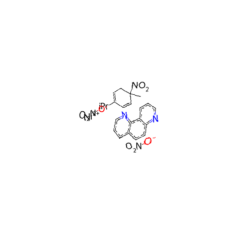 CC(C)C1=CCC(C)([N+](=O)[O-])C=C1.O=[N+]([O-])[O-].O=[N+]([O-])[O-].[Ni+2].c1cnc2c(c1)ccc1ncccc12